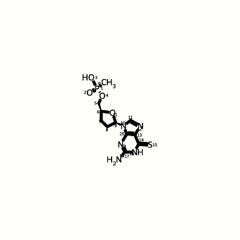 CP(=O)(O)OC[C@@H]1CC[C@H](n2cnc3c(=S)[nH]c(N)nc32)O1